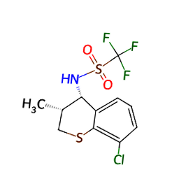 C[C@H]1CSc2c(Cl)cccc2[C@H]1NS(=O)(=O)C(F)(F)F